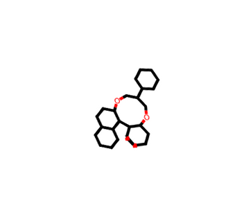 C1CCC(C2COC3CCC4CCCCC4C3C3C(CCC4CCCCC43)OC2)CC1